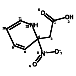 O=C(O)CC1([N+](=O)[O-])C=CC=CN1